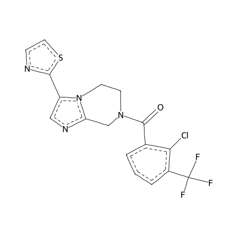 O=C(c1cccc(C(F)(F)F)c1Cl)N1CCn2c(-c3nccs3)cnc2C1